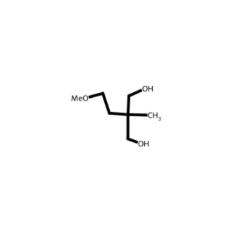 COCCC(C)(CO)CO